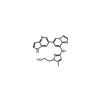 Cc1cc(Nc2cc(-c3cnc4cc[nH]c4c3)cn3ccnc23)nn1CCO